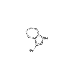 [CH2]C(C)c1c[nH]c2ccccc12